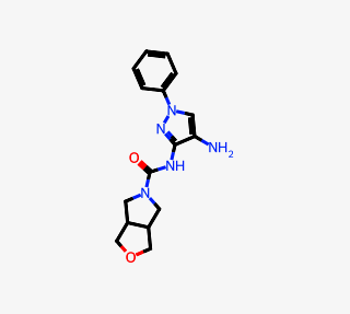 Nc1cn(-c2ccccc2)nc1NC(=O)N1CC2COCC2C1